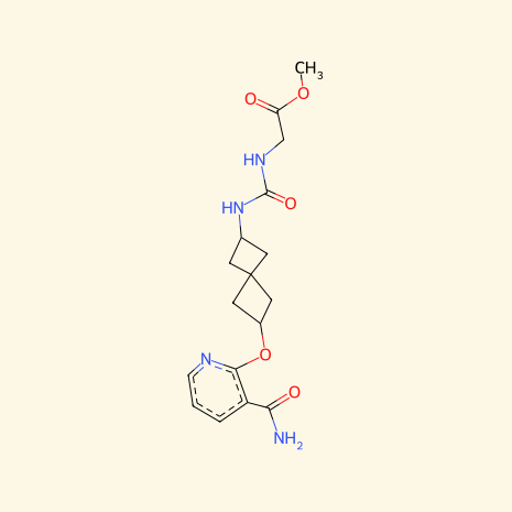 COC(=O)CNC(=O)NC1CC2(C1)CC(Oc1ncccc1C(N)=O)C2